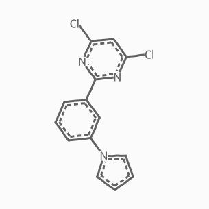 Clc1cc(Cl)nc(-c2cccc(-n3cccc3)c2)n1